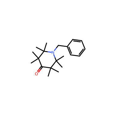 CC1(C)C(=O)C(C)(C)C(C)(C)N(Cc2ccccc2)C1(C)C